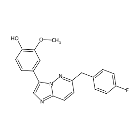 COc1cc(-c2cnc3ccc(Cc4ccc(F)cc4)nn23)ccc1O